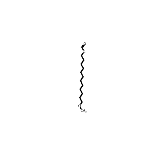 [CH2]OCCCCCCCCCCCCO[C]=O